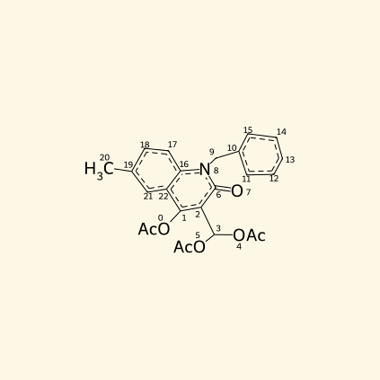 CC(=O)Oc1c(C(OC(C)=O)OC(C)=O)c(=O)n(Cc2ccccc2)c2ccc(C)cc12